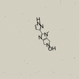 Cn1c(-c2cc[nH]n2)nc2c1CN(O)C2